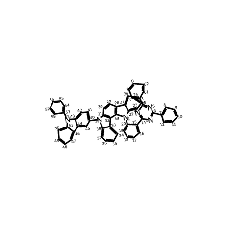 c1ccc(-c2nc(-c3ccccc3)nc(-c3ccccc3-n3c4ccccc4c4ccc5c(c6ccccc6n5-c5ccc6c(c5)c5ccccc5n6-c5ccccc5)c43)n2)cc1